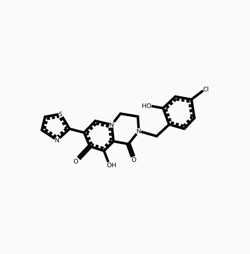 O=C1c2c(O)c(=O)c(-c3nccs3)cn2CCN1Cc1ccc(Cl)cc1O